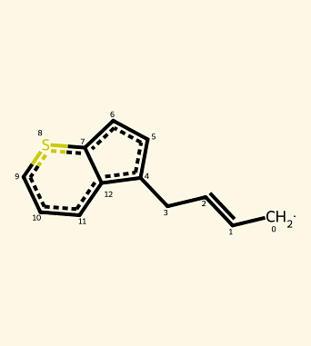 [CH2]C=CCc1ccc2scccc1-2